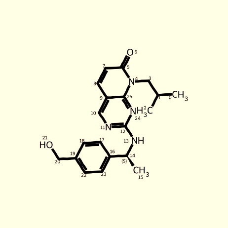 CC(C)Cn1c(=O)ccc2cnc(N[C@@H](C)c3ccc(CO)cc3)nc21